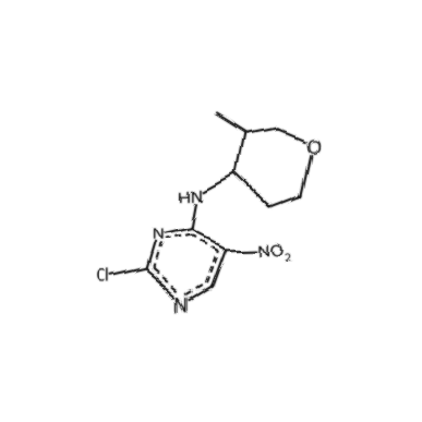 CC1COCCC1Nc1nc(Cl)ncc1[N+](=O)[O-]